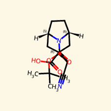 CC(C)(C)OC(=O)N1[C@@H]2CC[C@H]1C[C@@](CC#N)(C(=O)O)C2